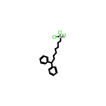 [Cl][Sn]([Cl])([Cl])[CH2]CCCCCCC(c1ccccc1)c1ccccc1